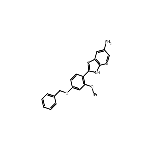 Bc1cnc2[nH]c(-c3ccc(OCc4ccccc4)cc3OC(C)C)nc2c1